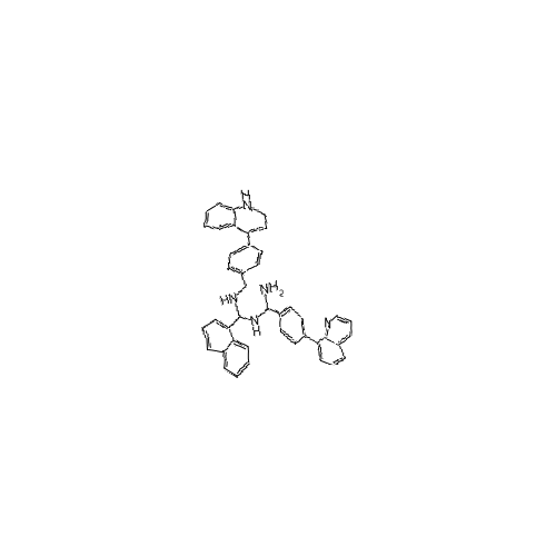 NC(NC(NCc1ccc(C2=CCNc3ccccc32)cc1)c1cccc2ccccc12)c1ccc(-c2cccc3cccnc23)cc1